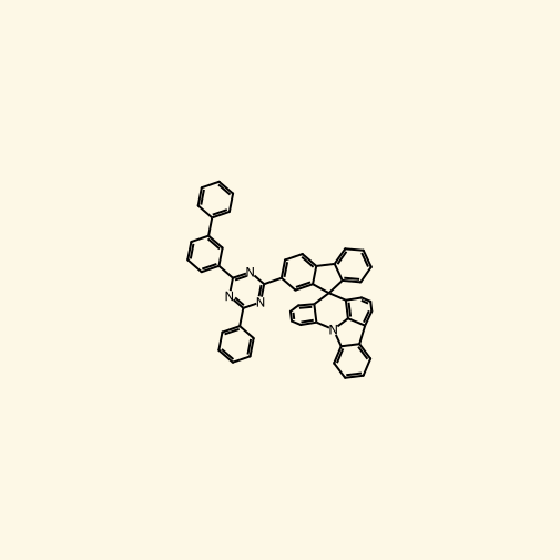 c1ccc(-c2cccc(-c3nc(-c4ccccc4)nc(-c4ccc5c(c4)C4(c6ccccc6-5)c5ccccc5-n5c6ccccc6c6cccc4c65)n3)c2)cc1